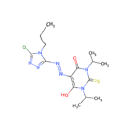 CCCn1c(Cl)nnc1N=Nc1c(O)n(C(C)C)c(=S)n(C(C)C)c1=O